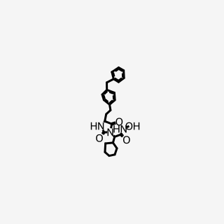 O=C(NO)C(C1CCCCC1)N1C(=O)NC(CCc2ccc(Cc3ccccc3)cc2)C1=O